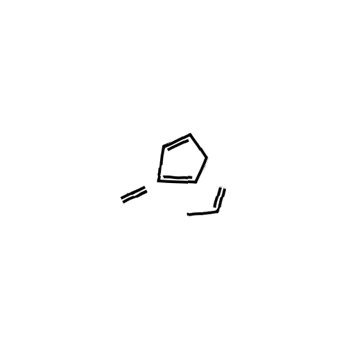 C1=CCC=C1.C=C.C=CC